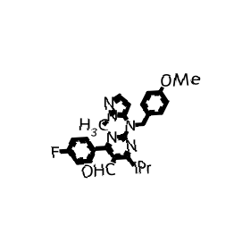 COc1ccc(CN(c2nc(-c3ccc(F)cc3)c(C=O)c(C(C)C)n2)c2ccnn2C)cc1